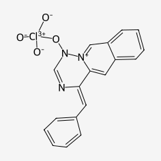 [O-][Cl+3]([O-])([O-])ON1C=NC(=Cc2ccccc2)c2cc3ccccc3c[n+]21